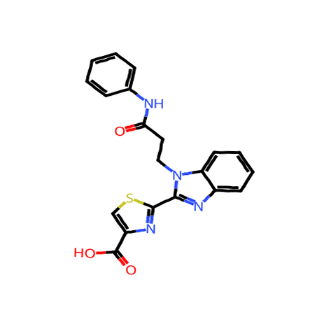 O=C(CCn1c(-c2nc(C(=O)O)cs2)nc2ccccc21)Nc1ccccc1